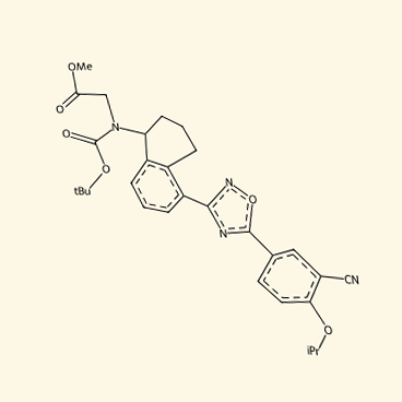 COC(=O)CN(C(=O)OC(C)(C)C)C1CCCc2c(-c3noc(-c4ccc(OC(C)C)c(C#N)c4)n3)cccc21